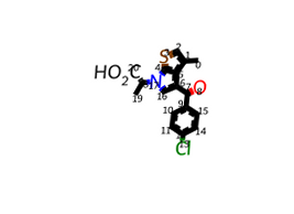 Cc1csc2c1c(C(=O)c1ccc(Cl)cc1)cn2C(C)C(=O)O